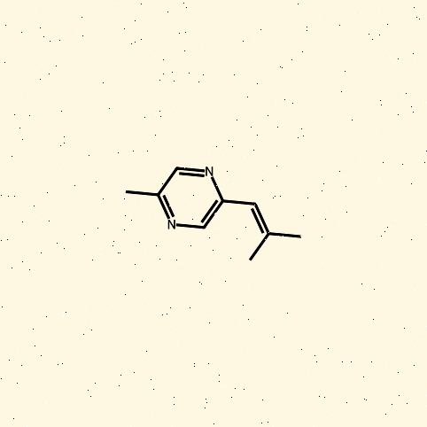 CC(C)=Cc1cnc(C)cn1